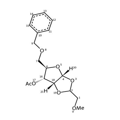 COCC1O[C@H]2O[C@H](COCc3ccccc3)[C@@H](OC(C)=O)[C@H]2O1